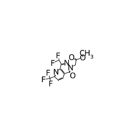 COC(=O)Cn1nc(C(F)F)c2nc(C(F)(F)F)ccc2c1=O